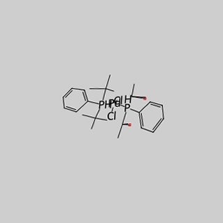 CC(C)(C)[PH](c1ccccc1)(C(C)(C)C)[Pd]([Cl])([Cl])[PH](c1ccccc1)(C(C)(C)C)C(C)(C)C